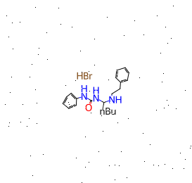 Br.CCCCC(NCCc1ccccc1)NC(=O)Nc1ccccc1